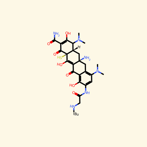 CN(C)c1cc(NC(=O)CNC(C)(C)C)c(O)c2c1C[C@@]1(N)C[C@H]3C(N(C)C)C(O)=C(C(N)=O)C(=O)[C@@]3(S)C(O)=C1C2=O